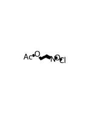 CC(=O)OCC=NOCl